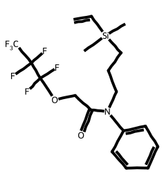 C=C[Si](C)(C)CCCN(C(=O)COC(F)(F)C(F)(F)C(F)(F)F)c1ccccc1